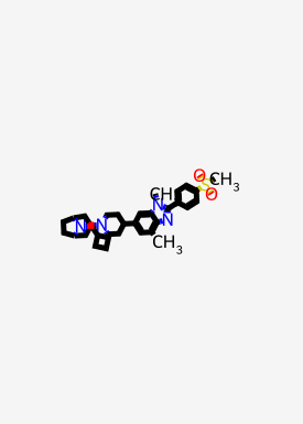 Cc1cc(C2CCN(C3CC4CCC(C3)N4CC3CCC3)CC2)cc2c1nc(-c1ccc(S(C)(=O)=O)cc1)n2C